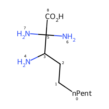 CCCCCCCC(N)C(N)(N)C(=O)O